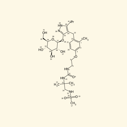 Cc1cc(OCCNC(=O)NC(C)(C)CNS(C)(=O)=O)ccc1Cc1c(O[C@@H]2O[C@H](CO)[C@@H](O)[C@H](O)[C@H]2O)n[nH]c1C(C)C